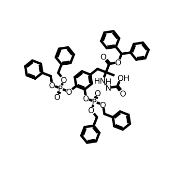 CC(Cc1ccc(OP(=O)(OCc2ccccc2)OCc2ccccc2)c(OP(=O)(OCc2ccccc2)OCc2ccccc2)c1)(NNC(=O)O)C(=O)OC(c1ccccc1)c1ccccc1